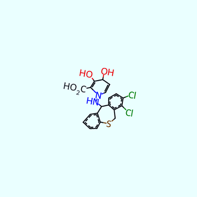 O=C(O)C1=C(O)C(O)C=CN1NC1c2ccccc2SCc2c1ccc(Cl)c2Cl